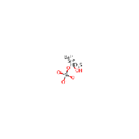 O=S(=O)(O)O.[Ba+2].[O-][Si]([O-])([O-])[O-].[Sr+2]